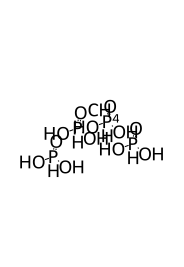 C.O=[PH](O)O.O=[PH](O)O.O=[PH](O)O.O=[PH](O)O